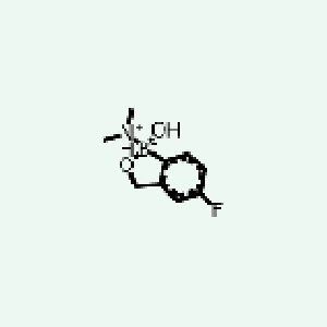 C[NH+](C)[B-]1(O)OCc2cc(F)ccc21